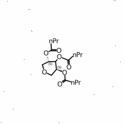 CCCC(=O)OC1[C@@H](OC(=O)CCC)COC[C@@H]1OC(=O)CCC